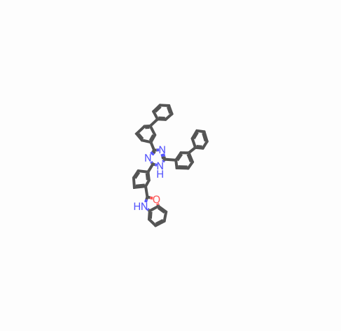 c1ccc(-c2cccc(C3=NC(c4cccc(C5Nc6ccccc6O5)c4)NC(c4cccc(-c5ccccc5)c4)=N3)c2)cc1